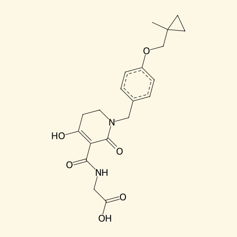 CC1(COc2ccc(CN3CCC(O)=C(C(=O)NCC(=O)O)C3=O)cc2)CC1